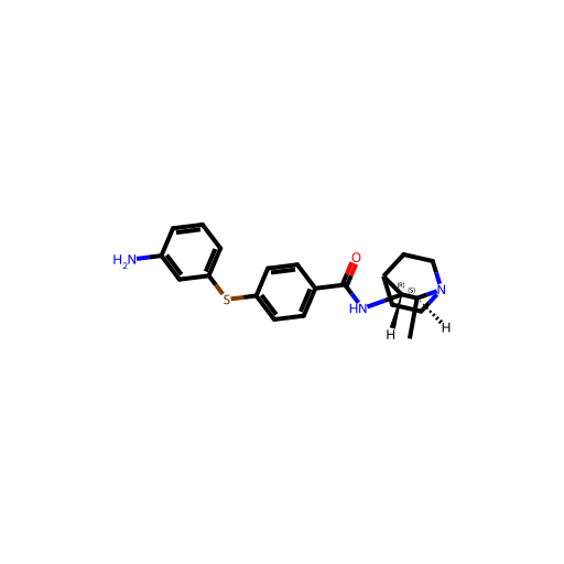 C[C@H]1[C@H](NC(=O)c2ccc(Sc3cccc(N)c3)cc2)C2CCN1CC2